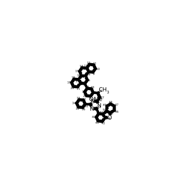 COc1ccc(-c2cc3c4ccccc4ccc3c3ccccc23)cc1/C(C)=C\c1nc(-c2ccccc2)nc(-c2cccc3oc4ccccc4c23)n1